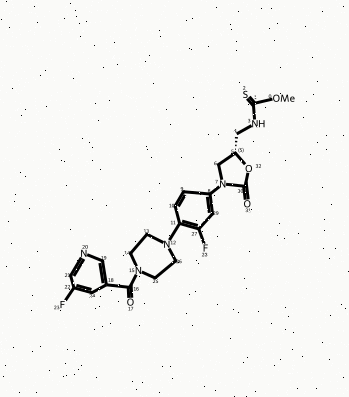 COC(=S)NC[C@H]1CN(c2ccc(N3CCN(C(=O)c4cncc(F)c4)CC3)c(F)c2)C(=O)O1